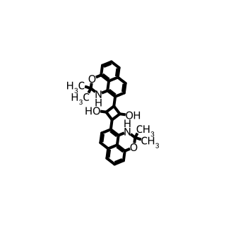 CC1(C)Nc2c(C3C(O)C(c4ccc5cccc6c5c4NC(C)(C)O6)C3O)ccc3cccc(c23)O1